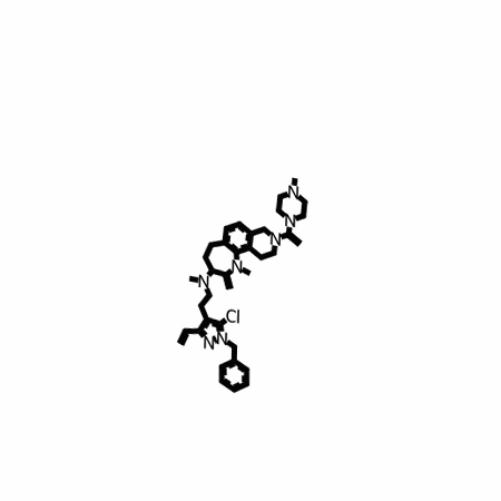 C=Cc1nn(Cc2ccccc2)c(Cl)c1CCN(C)C1CCc2ccc3c(c2N(C)C1=C)CCN(C(=C)N1CCN(C)CC1)C3